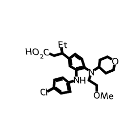 CCC(CC(=O)O)c1ccc(N(CCOC)C2CCOCC2)c(Nc2ccc(Cl)cc2)c1